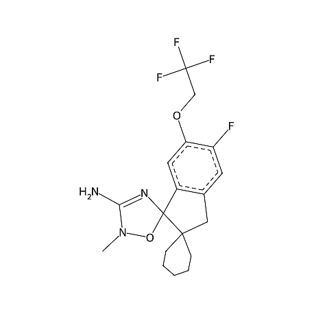 CN1OC2(N=C1N)c1cc(OCC(F)(F)F)c(F)cc1CC21CCCCC1